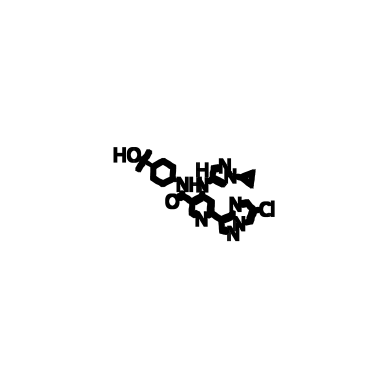 CC(C)(O)[C@H]1CC[C@H](NC(=O)c2cnc(-c3cnn4cc(Cl)cnc34)cc2Nc2cnn(C3CC3)c2)CC1